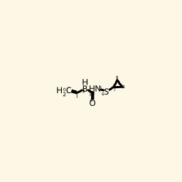 C=CBC(=O)NSC1CC1